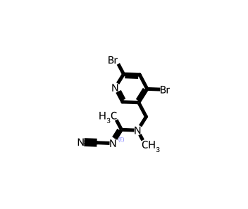 C/C(=N\C#N)N(C)Cc1cnc(Br)cc1Br